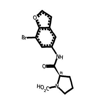 O=C(Nc1cc(Br)c2occc2c1)[C@H]1CCCN1C(=O)O